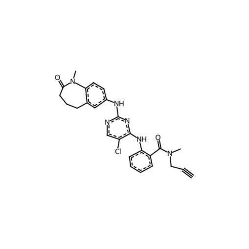 C#CCN(C)C(=O)c1ccccc1Nc1nc(Nc2ccc3c(c2)CCCC(=O)N3C)ncc1Cl